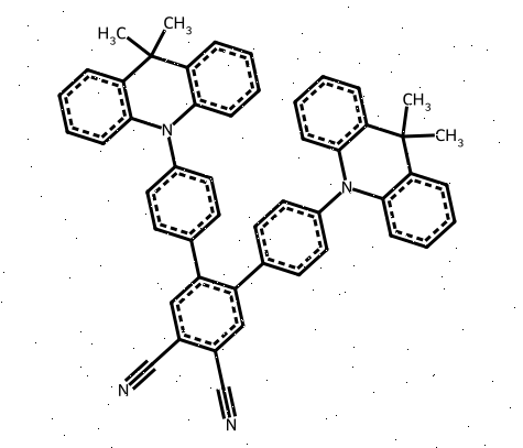 CC1(C)c2ccccc2N(c2ccc(-c3cc(C#N)c(C#N)cc3-c3ccc(N4c5ccccc5C(C)(C)c5ccccc54)cc3)cc2)c2ccccc21